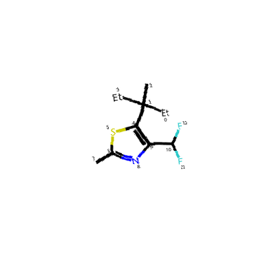 CCC(C)(CC)c1sc(C)nc1C(F)F